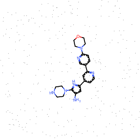 Nc1cc(-c2ccnc(-c3ccc(N4CCOCC4)nc3)c2)[nH]c1N1CCNCC1